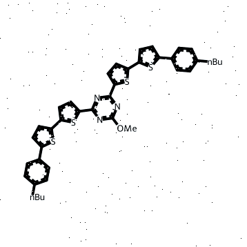 CCCCc1ccc(-c2ccc(-c3ccc(-c4nc(OC)nc(-c5ccc(-c6ccc(-c7ccc(CCCC)cc7)s6)s5)n4)s3)s2)cc1